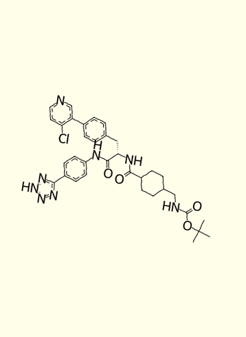 CC(C)(C)OC(=O)NCC1CCC(C(=O)N[C@@H](Cc2ccc(-c3cnccc3Cl)cc2)C(=O)Nc2ccc(-c3nn[nH]n3)cc2)CC1